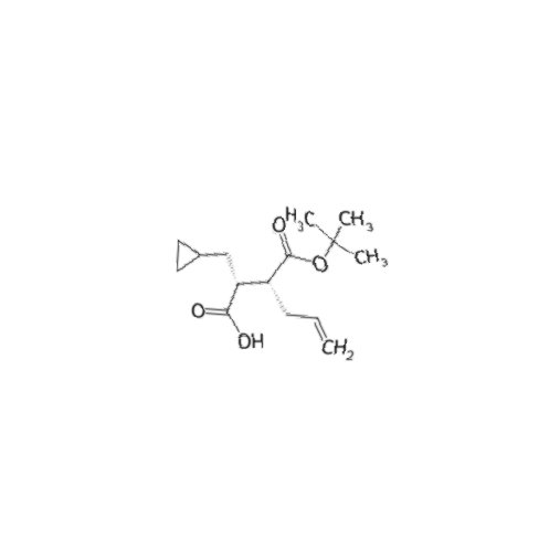 C=CC[C@@H](C(=O)OC(C)(C)C)[C@@H](CC1CC1)C(=O)O